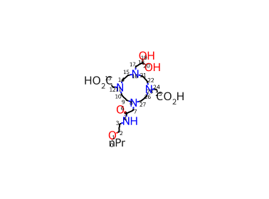 CCCOCCNC(=O)CN1CCN(CC(=O)O)CCN(CC(O)O)CCN(CC(=O)O)CC1